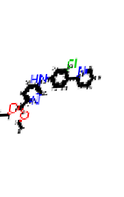 CCOC(OCC)c1ccc(Nc2ccc(-c3ccccn3)c(Cl)c2)cn1